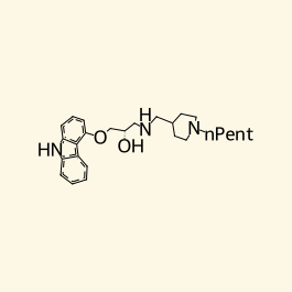 CCCCCN1CCC(CNC[C@H](O)COc2cccc3[nH]c4ccccc4c23)CC1